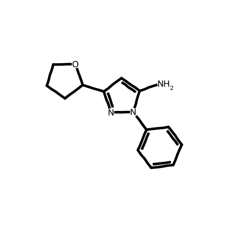 Nc1cc(C2CCCO2)nn1-c1ccccc1